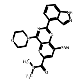 CSc1cc(C(=O)N(C)C)nc2c(N3CCOCC3)nc(-c3cccc4[nH]ncc34)nc12